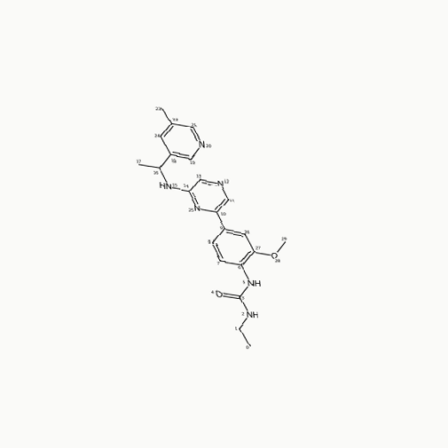 CCNC(=O)Nc1ccc(-c2cncc(NC(C)c3cncc(C)c3)n2)cc1OC